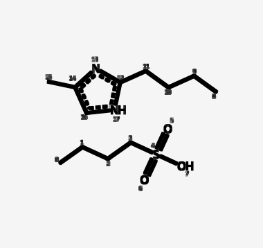 CCCCS(=O)(=O)O.CCCCc1nc(C)c[nH]1